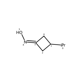 CC(C)C1CC(=NO)C1